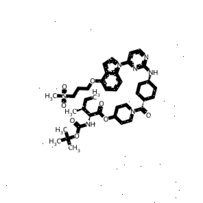 CC[C@H](C)[C@@H](NC(=O)OC(C)(C)C)C(=O)OC1CCN(C(=O)[C@H]2CC[C@H](Nc3nccc(-n4ccc5c(OCCCS(C)(=O)=O)cccc54)n3)CC2)CC1